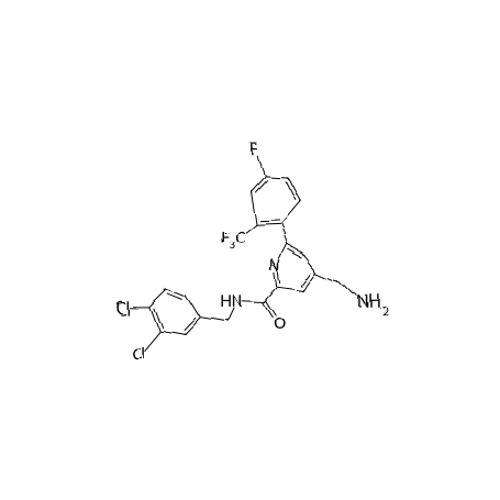 NCc1cc(C(=O)NCc2ccc(Cl)c(Cl)c2)nc(-c2ccc(F)cc2C(F)(F)F)c1